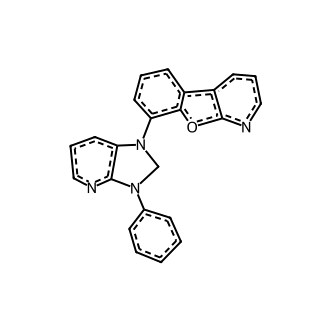 c1ccc(N2CN(c3cccc4c3oc3ncccc34)c3cccnc32)cc1